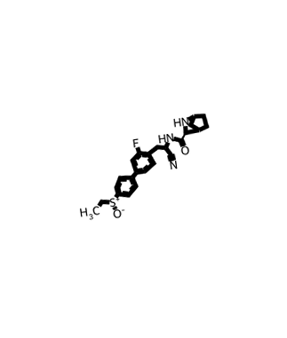 CC[S+]([O-])c1ccc(-c2ccc(CC(C#N)NC(=O)[C@H]3NC4CCC3C4)c(F)c2)cc1